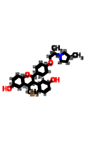 CC1=C(c2cc(O)ccc2Br)C(c2ccc(OC[C@H](C)N3CC[C@@H](C)C3)cc2)Oc2ccc(O)cc21